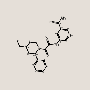 CC[C@H]1CCN(C(=O)C(=O)Nc2cncc(C(N)=O)c2)[C@@H](c2ccccc2)C1